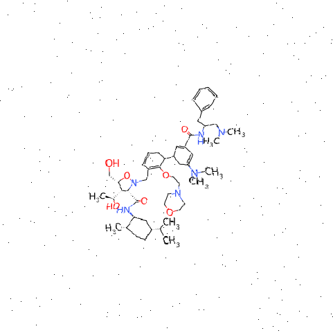 CC(C)[C@@H]1CC[C@H](C)[C@@H](NC(=O)[C@@H]2[C@H]([C@H](C)O)[C@H](CO)ON2CC2=C(OCCN3CCOCC3)C(C3C=C(C(=O)NC(Cc4ccccc4)CN(C)C)C=C(N(C)C)C3)CC=C2)C1